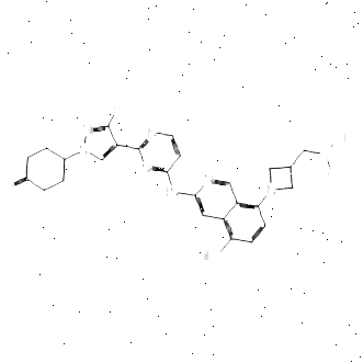 CC(C)c1ccc(N2CC(C[S+](C)[O-])C2)c2cnc(Nc3ccnc(-c4cn(C5CCC(=O)CC5)nc4Cl)n3)cc12